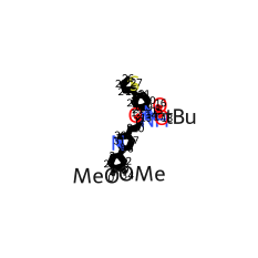 COc1ccc(-c2ccc(C=CC(=O)NN(C(=O)OC(C)(C)C)c3ccc(-c4cccs4)cc3)cn2)cc1OC